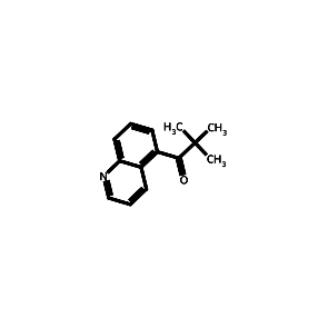 CC(C)(C)C(=O)c1cccc2ncccc12